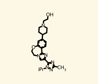 Cc1nc(-c2cn3c(n2)-c2ccc(C4CCN(CCO)CC4)cc2OCC3)n(C(C)C)n1